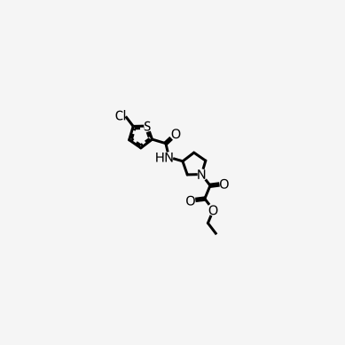 CCOC(=O)C(=O)N1CCC(NC(=O)c2ccc(Cl)s2)C1